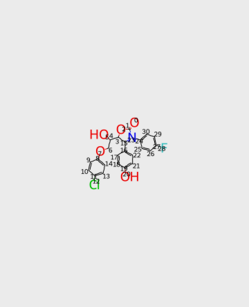 O=C1OC(C(O)COc2ccc(Cl)cc2)C(c2ccc(O)cc2)N1c1ccc(F)cc1